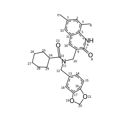 Cc1cc(C)c2[nH]c(=O)c(CN(Cc3ccc4c(c3)OCO4)C(=O)C3CCCCC3)cc2c1